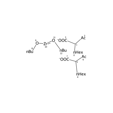 CCCCCCC(C(C)=O)C(=O)[O-].CCCCCCC(C(C)=O)C(=O)[O-].CCCC[O][Zr+2][O]CCCC